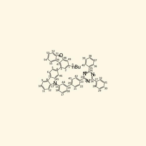 CCCCc1cc(-c2ccc3c4ccccc4n(-c4cccc(-c5ccc(-c6nc(-c7ccccc7)nc(-c7ccccc7)n6)cc5)c4)c3c2)c2c(c1)oc1ccccc12